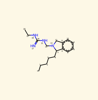 CCCCCC1c2ccccc2CN1CNC(=N)NCC